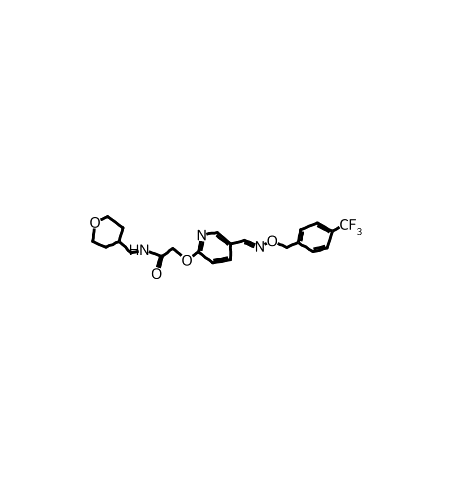 O=C(COc1ccc(/C=N/OCc2ccc(C(F)(F)F)cc2)cn1)NCC1CCOCC1